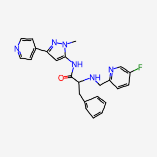 Cn1nc(-c2ccncc2)cc1NC(=O)C(Cc1ccccc1)NCc1ccc(F)cn1